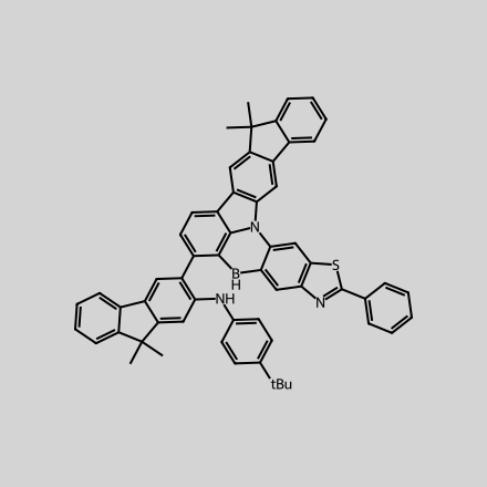 CC(C)(C)c1ccc(Nc2cc3c(cc2-c2ccc4c5cc6c(cc5n5c4c2Bc2cc4nc(-c7ccccc7)sc4cc2-5)-c2ccccc2C6(C)C)-c2ccccc2C3(C)C)cc1